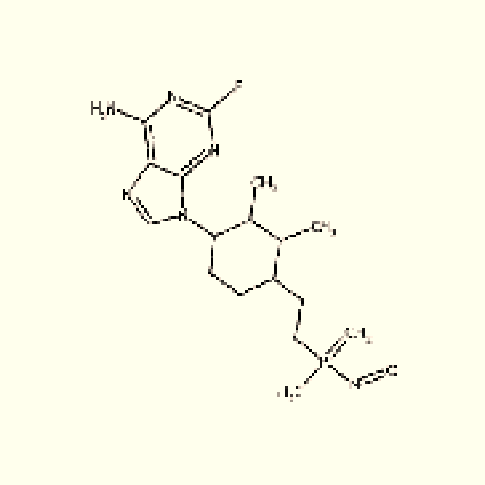 C=P(C)(CCC1CCC(n2cnc3c(N)nc(F)nc32)C(C)C1C)N=O